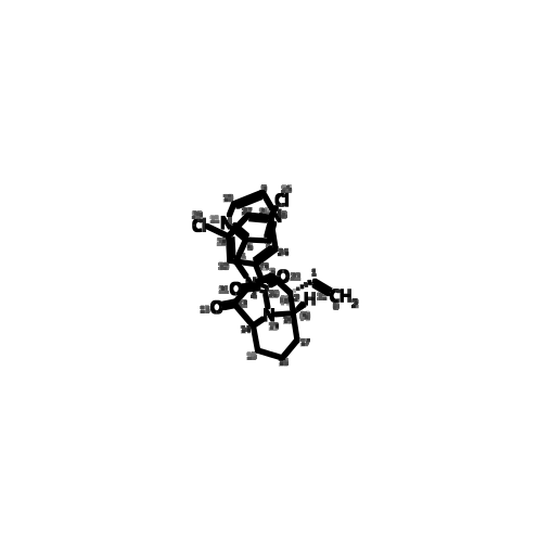 C=C[C@H]1CN(Cc2cnccn2)C(=O)C2CCC[C@@H]1N2S(=O)(=O)c1cc(Cl)cc(Cl)c1